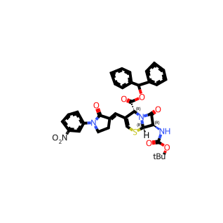 CC(C)(C)OC(=O)N[C@@H]1C(=O)N2[C@@H](C(=O)OC(c3ccccc3)c3ccccc3)C(C=C3CCN(c4cccc([N+](=O)[O-])c4)C3=O)=CS[C@H]12